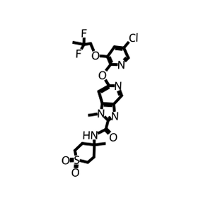 Cn1c(C(=O)NC2(C)CCS(=O)(=O)CC2)nc2cnc(Oc3ncc(Cl)cc3OCC(C)(F)F)cc21